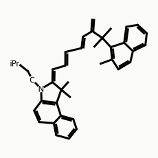 C=C(/C=C/C=C/C=C1/N(CCC(C)C)c2ccc3ccccc3c2C1(C)C)C(C)(C)c1c(C)ccc2ccccc12